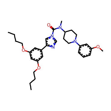 CCCCOc1cc(OCCCC)cc(-c2cn(C(=O)N(C)C3CCN(c4cccc(OC)c4)CC3)cn2)c1